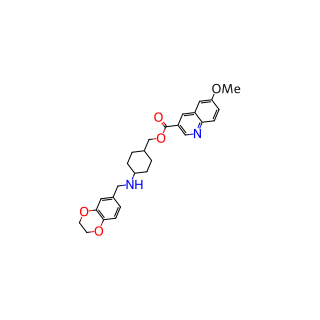 COc1ccc2ncc(C(=O)OCC3CCC(NCc4ccc5c(c4)OCCO5)CC3)cc2c1